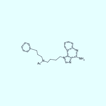 CC(=O)N(CCCCn1cnc2c(N)nc3ccccc3c21)CCCc1ccccc1